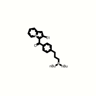 CCCCN(CCCC)CCCc1ccc(C(=O)c2c(CC)cc3ccccn23)cc1